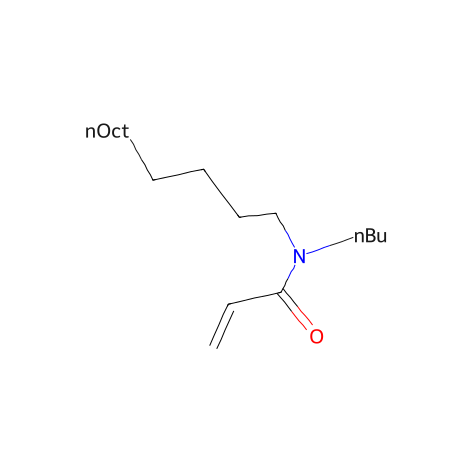 C=CC(=O)N(CCCC)CCCCCCCCCCCC